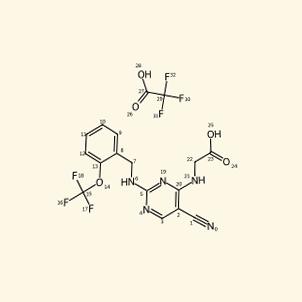 N#Cc1cnc(NCc2ccccc2OC(F)(F)F)nc1NCC(=O)O.O=C(O)C(F)(F)F